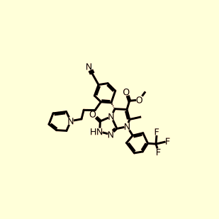 COC(=O)C1=C(C)N(c2cccc(C(F)(F)F)c2)c2n[nH]c(=O)n2[C@@H]1c1ccc(C#N)cc1CCCN1C=CC=CC1